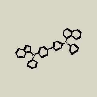 C1=c2ccccc2=C(N(c2ccccc2)c2ccc(-c3ccc(N(C4=c5ccccc5=CCC4)c4ccccc4)cc3)cc2)C1